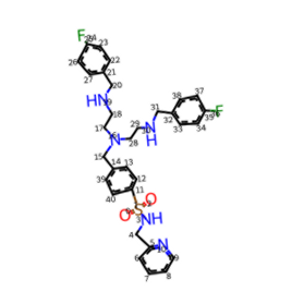 O=S(=O)(NCc1ccccn1)c1ccc(CN(CCNCc2ccc(F)cc2)CCNCc2ccc(F)cc2)cc1